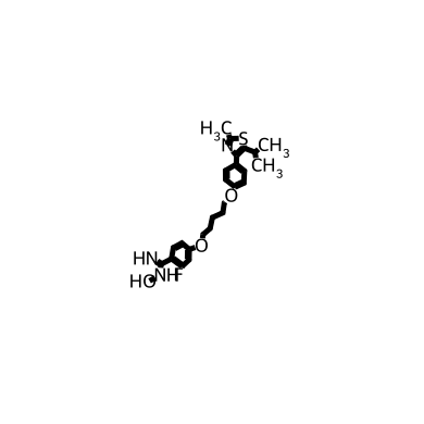 Cc1nc(-c2ccc(OCCCCCOc3ccc(C(=N)NO)c(F)c3)cc2)c(C(C)C)s1